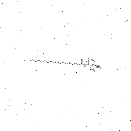 CCCCCCCCCCCCCCCCCC(=O)Oc1cccc(N)c1N